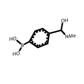 CNC(O)c1ccc(B(O)O)cc1